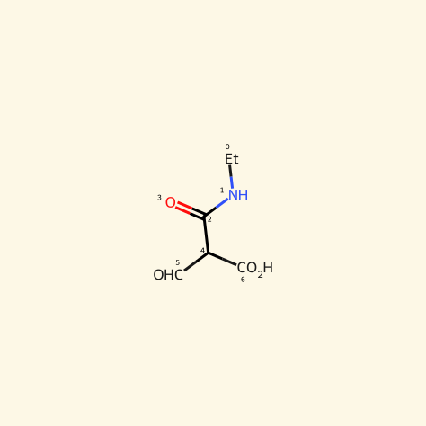 CCNC(=O)C(C=O)C(=O)O